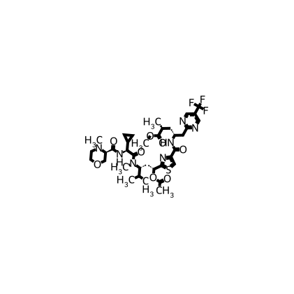 COC(=O)[C@@H](C)C[C@H](Cc1ncc(C(F)(F)F)cn1)NC(=O)c1csc([C@@H](C[C@H](C(C)C)N(C)C(=O)[C@@H](NC(=O)[C@H]2COCCN2C)C2CC2)OC(C)=O)n1